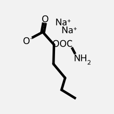 CCCCCC(=O)[O-].NC(=O)[O-].[Na+].[Na+]